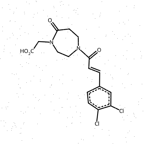 O=C(O)CN1CCN(C(=O)/C=C/c2ccc(Cl)c(Cl)c2)CCC1=O